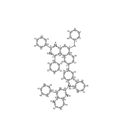 c1ccc(Cc2cc3nc(-c4ccccc4)nc(-c4ccccc4)c3c3cc(-c4ccc5c(c4)c4ccccc4n5-c4cc(-c5ccccc5)c5ncccc5n4)ccc23)cc1